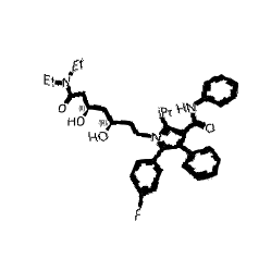 CCN(CC)C(=O)C[C@H](O)C[C@H](O)CCn1c(-c2ccc(F)cc2)c(-c2ccccc2)c(C(=O)Nc2ccccc2)c1C(C)C